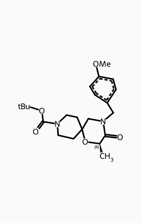 COc1ccc(CN2CC3(CCN(C(=O)OC(C)(C)C)CC3)O[C@H](C)C2=O)cc1